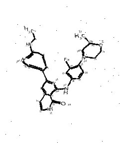 CCNc1ccc(-c2cc3cc[nH]c(=O)c3c(Nc3ccc(N4CCO[C@H](C)C4)c(F)c3)n2)cn1